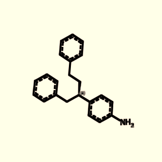 Nc1ccc([C@H](CCc2ccccc2)Cc2ccccc2)cc1